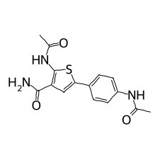 CC(=O)Nc1ccc(-c2cc(C(N)=O)c(NC(C)=O)s2)cc1